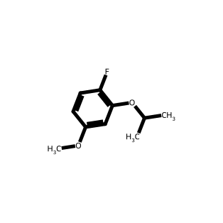 COc1ccc(F)c(OC(C)C)c1